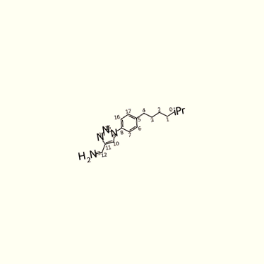 CC(C)CCCCc1ccc(-n2cc(CN)nn2)cc1